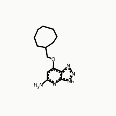 Nc1cc(OCC2CCCCCCC2)c2nn[nH]c2n1